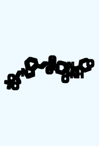 CC1(C)OCC(Cn2ccc3c(/C=C/S(=O)(=O)N4CCC5(CC4)N=C(C4CCOCC4)NC5=O)cccc32)O1